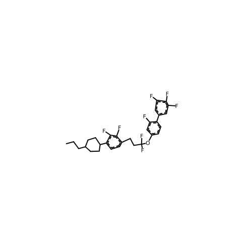 CCCC1CCC(c2ccc(CCC(F)(F)Oc3ccc(-c4cc(F)c(F)c(F)c4)c(F)c3)c(F)c2F)CC1